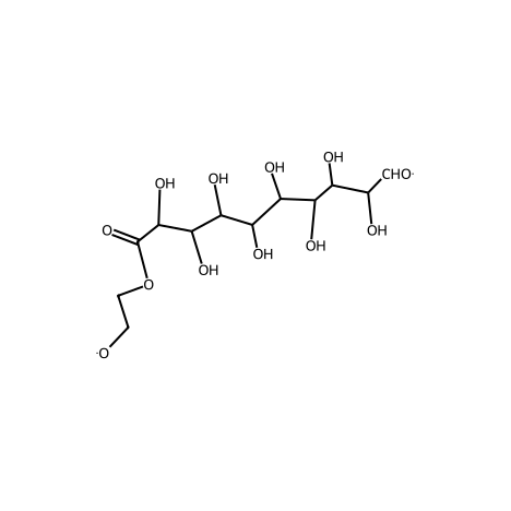 [O]CCOC(=O)C(O)C(O)C(O)C(O)C(O)C(O)C(O)C(O)[C]=O